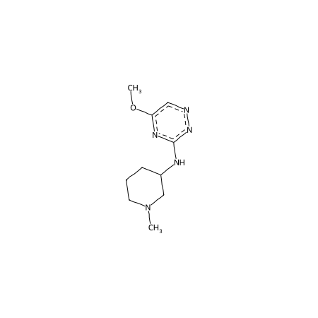 COc1cnnc(NC2CCCN(C)C2)n1